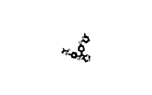 C=C(C)C(=O)Nc1ccc(-c2[nH]c3cncnc3c2-c2ccc(Oc3cccc(C)n3)cc2)cc1